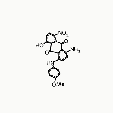 COc1ccc(Nc2ccc(N)c3c2C(=O)c2c(O)ccc([N+](=O)[O-])c2C3=O)cc1